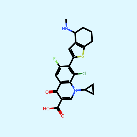 CNC1CCCc2sc(-c3c(F)cc4c(=O)c(C(=O)O)cn(C5CC5)c4c3Cl)cc21